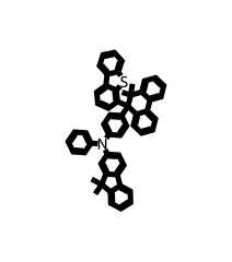 CC1(C)c2ccccc2-c2ccc(N(c3ccccc3)c3ccc(C4(c5cccc6c5sc5ccccc56)c5ccccc5-c5ccccc5C4(C)C)cc3)cc21